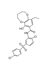 CCc1cc(C(=O)Nc2cc(S(=O)(=O)c3ccc(Cl)cc3)ccc2Cl)c(O)c2c1OCCCCO2